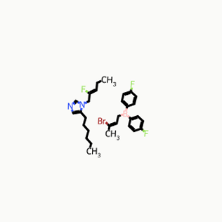 CC(Br)=CCB(c1ccc(F)cc1)c1ccc(F)cc1.CCC=C(F)Cn1cncc1CCCCCC